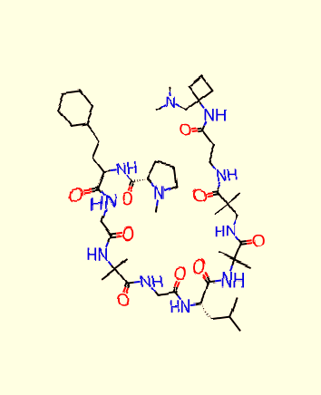 CC(C)C[C@H](NC(=O)CNC(=O)C(C)(C)NC(=O)CNC(=O)C(CCC1CCCCC1)NC(=O)[C@@H]1CCCN1C)C(=O)NC(C)(C)C(=O)NCC(C)(C)C(=O)NCCC(=O)NC1(CN(C)C)CCC1